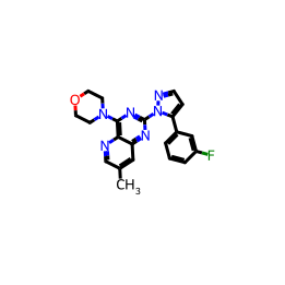 Cc1cnc2c(N3CCOCC3)nc(-n3nccc3-c3cccc(F)c3)nc2c1